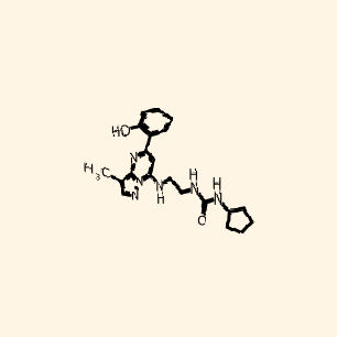 Cc1cnn2c(NCCNC(=O)NC3CCCC3)cc(-c3ccccc3O)nc12